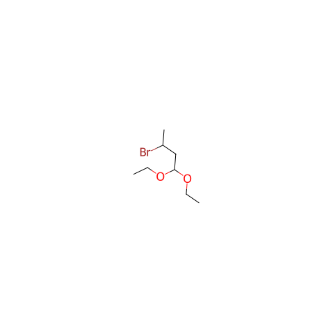 CCOC(CC(C)Br)OCC